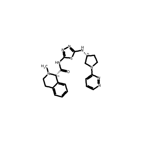 CN1CCc2ccccc2[C@H]1C(=O)Nc1nnc(N[C@@H]2CCN(c3cccnn3)C2)s1